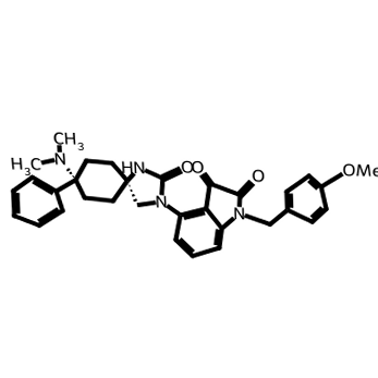 COc1ccc(CN2C(=O)C(=O)c3c2cccc3N2C[C@]3(CC[C@@](c4ccccc4)(N(C)C)CC3)NC2=O)cc1